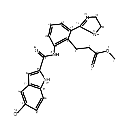 COC(=O)CCc1c(NC(=O)c2cc3cc(Cl)ccc3[nH]2)cccc1C1=NCCN1